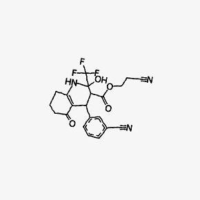 N#CCCOC(=O)C1C(c2cccc(C#N)c2)C2=C(CCCC2=O)NC1(O)C(F)(F)F